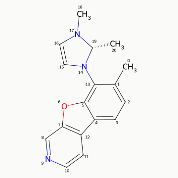 Cc1ccc2c(oc3cnccc32)c1N1C=CN(C)[C@@H]1C